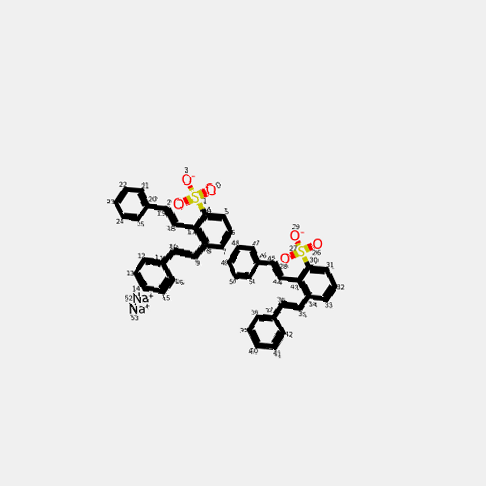 O=S(=O)([O-])c1cccc(/C=C/c2ccccc2)c1/C=C/c1ccccc1.O=S(=O)([O-])c1cccc(/C=C/c2ccccc2)c1/C=C/c1ccccc1.[Na+].[Na+]